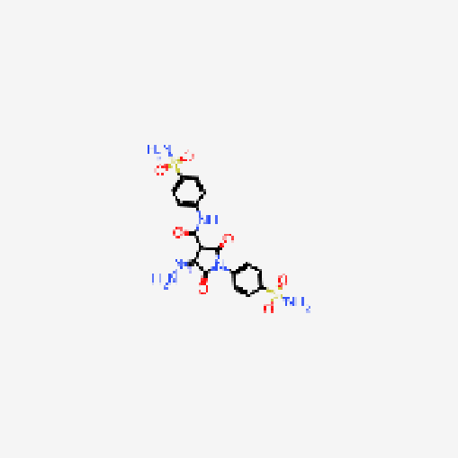 N/N=C1\C(=O)N(c2ccc(S(N)(=O)=O)cc2)C(=O)C1C(=O)Nc1ccc(S(N)(=O)=O)cc1